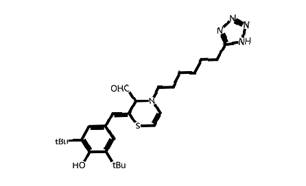 CC(C)(C)c1cc(C=C2SC=CN(CCCCCCc3nnn[nH]3)C2C=O)cc(C(C)(C)C)c1O